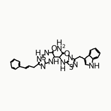 NC(=O)C(Nc1nc(CC=Cc2ccccc2)ns1)C(Nc1nc(Cc2c[nH]c3ccccc23)ns1)C(N)=O